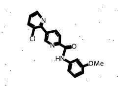 COc1cccc(NC(=O)c2ccc(-c3ncccc3Cl)cn2)c1